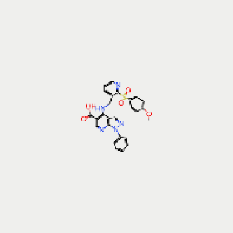 COc1ccc(S(=O)(=O)c2ncccc2CNc2c(C(=O)O)cnc3c2cnn3-c2ccccc2)cc1